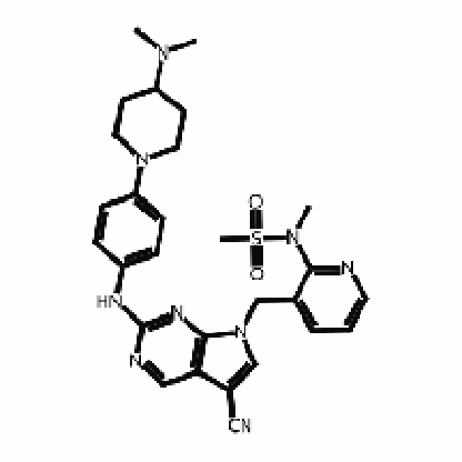 CN(C)C1CCN(c2ccc(Nc3ncc4c(C#N)cn(Cc5cccnc5N(C)S(C)(=O)=O)c4n3)cc2)CC1